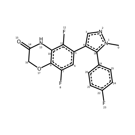 Cn1ncc(-c2cc(F)c3c(c2F)NC(=O)CO3)c1-c1ccc(F)cc1